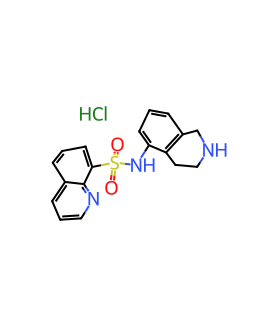 Cl.O=S(=O)(Nc1cccc2c1CCNC2)c1cccc2cccnc12